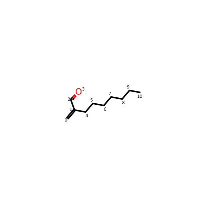 C=C(C=O)CCCCCCC